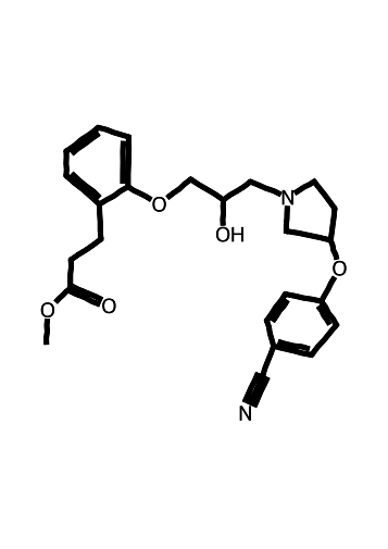 COC(=O)CCc1ccccc1OCC(O)CN1CCC(Oc2ccc(C#N)cc2)C1